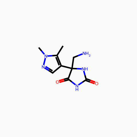 Cc1c(C2(CN)NC(=O)NC2=O)cnn1C